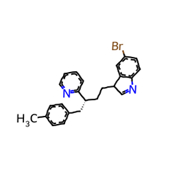 Cc1ccc(C[C@@H](CCC2C=Nc3ccc(Br)cc32)c2ccccn2)cc1